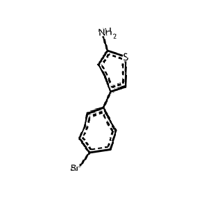 Nc1cc(-c2ccc(Br)cc2)cs1